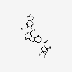 COc1cc2nnsc2cc1Nc1ncnc2sc3c(c12)CC[C@H](C(=O)N1C[C@@H]2C[C@H]1CN2C)C3